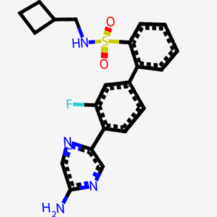 Nc1cnc(-c2ccc(-c3ccccc3S(=O)(=O)NCC3CCC3)cc2F)cn1